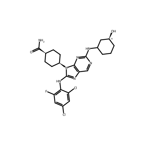 NC(=O)[C@H]1CC[C@@H](n2c(Nc3c(F)cc(Cl)cc3Cl)nc3cnc(NC4CCC[C@H](O)C4)nc32)CC1